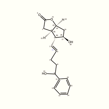 O=C1C[C@@H]2[C@@H](/C=C/CCC(O)c3ccccc3)[C@H](O)C[C@@H]2O1